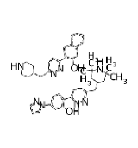 CC1(C)CC(Cc2ccc(-c3ccc(-n4cccn4)cc3O)nn2)CC(C)(C)N1.Oc1cc2ccccc2cc1-c1ccc(CC2CCNCC2)nn1